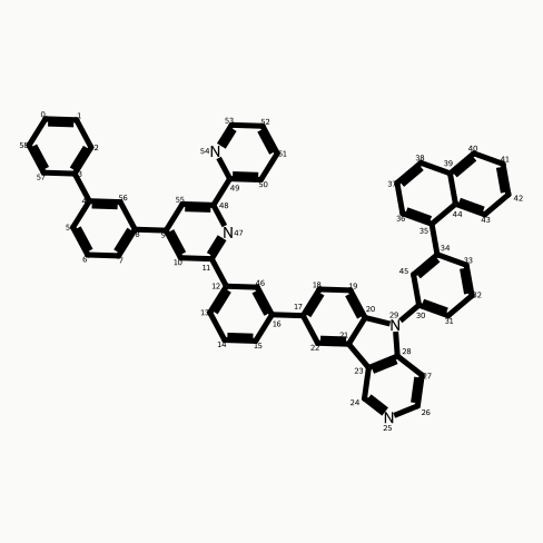 c1ccc(-c2cccc(-c3cc(-c4cccc(-c5ccc6c(c5)c5cnccc5n6-c5cccc(-c6cccc7ccccc67)c5)c4)nc(-c4ccccn4)c3)c2)cc1